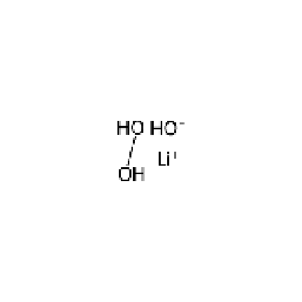 OO.[Li+].[OH-]